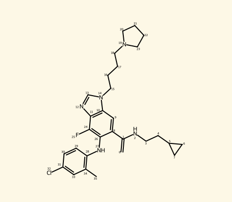 C=C(NCCC1CC1)c1cc2c(ncn2CCCCN2CCCC2)c(F)c1Nc1ccc(Cl)cc1C